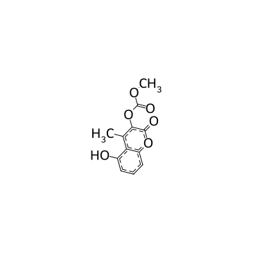 COC(=O)Oc1c(C)c2c(O)cccc2oc1=O